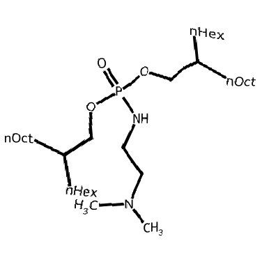 CCCCCCCCC(CCCCCC)COP(=O)(NCCN(C)C)OCC(CCCCCC)CCCCCCCC